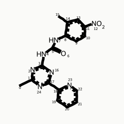 Cc1nc(NC(=O)Nc2ccc([N+](=O)[O-])cc2C)nc(-c2ccccn2)n1